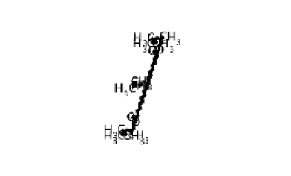 CC(CCOC(=O)CCCCCCCCCN(CCCCCCCCCC(=O)OCCC(C)CC(C)(C)C)CCN(C)C)CC(C)(C)C